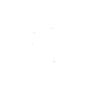 COc1cc2c(c(OC)c1OC)-c1cc3c(cc1C[C@H]1COC(=O)C1C2)OCO3